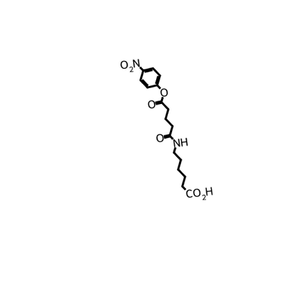 O=C(O)CCCCCNC(=O)CCCC(=O)Oc1ccc([N+](=O)[O-])cc1